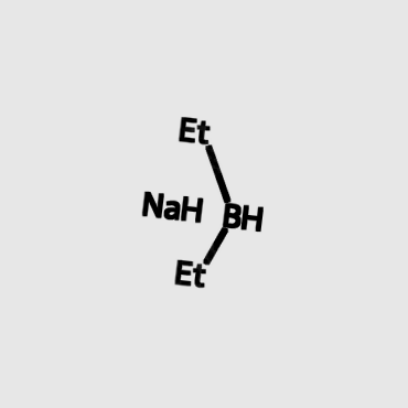 CCBCC.[NaH]